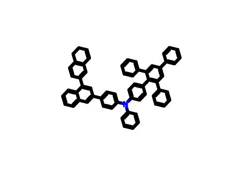 C1=Cc2cc(-c3cc(-c4ccc(N(c5ccccc5)c5ccc(-c6c(-c7ccccc7)cc(-c7ccccc7)cc6-c6ccccc6)cc5)cc4)cc4ccccc34)ccc2CC1